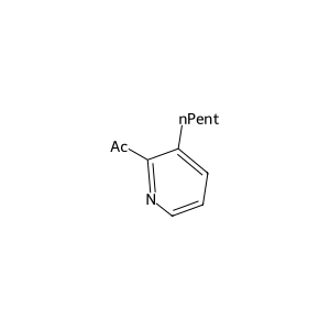 CCCCCc1cccnc1C(C)=O